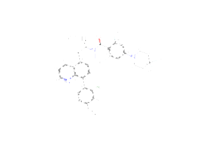 N#Cc1ccc(-c2ccc(C[C@H](NC(=O)c3c(F)cc(N4CCC(F)(F)CC4)cc3F)C(=O)O)c3cccnc23)c(Cl)c1